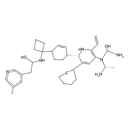 C=CC1=C(N(C(N)O)[C@H](C)N)C=C(C2CCCCC2)[C@H](C2C=CC(C3(NC(O)Cc4cncc(C)c4)CCC3)CC2)N1